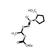 COC(=O)OC(C)ON=[N+]([O-])N1CCC[C@H]1C(=O)O